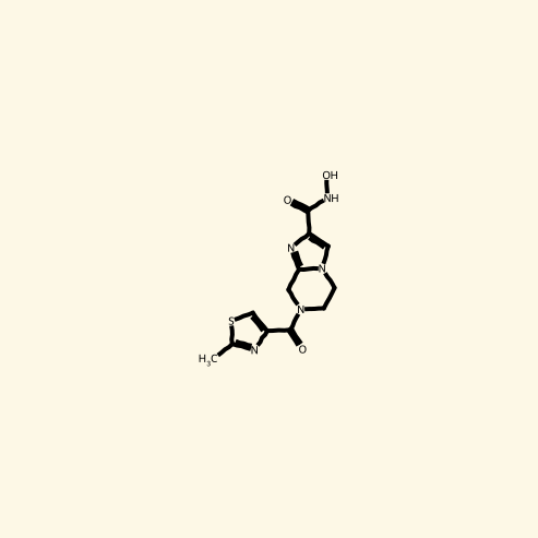 Cc1nc(C(=O)N2CCn3cc(C(=O)NO)nc3C2)cs1